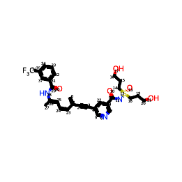 C=C(C#Cc1cncc(C(=O)N=S(=O)(CCCO)CCCO)c1)/C=C\C=C(/C)NC(=O)c1cccc(C(F)(F)F)c1